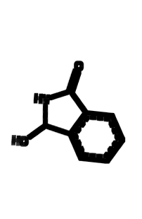 O=C1NC(O)c2ccccc21